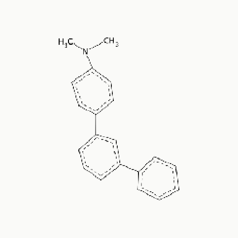 CN(C)c1ccc(-c2cccc(-c3ccccc3)c2)cc1